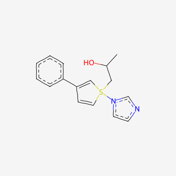 CC(O)CS1(n2ccnc2)C=CC(c2ccccc2)=C1